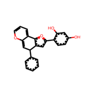 Oc1ccc(-c2cc3c(o2)C2=CC=COC2=CC3c2ccccc2)c(O)c1